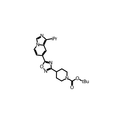 CC(C)c1ncn2ccc(-c3nc(C4CCN(C(=O)OC(C)(C)C)CC4)no3)cc12